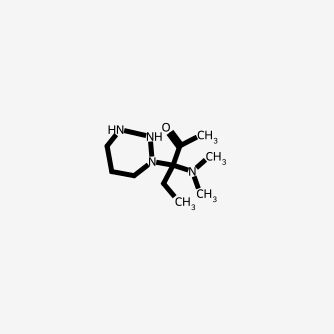 CCC(C(C)=O)(N(C)C)N1CCCNN1